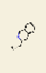 CCC1Cc2ccccc2C=N1